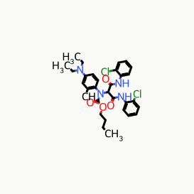 CCCCOC(=O)N(c1ccc(N(CC)CC)cc1C)C(C(=O)Nc1ccccc1Cl)C(=O)Nc1ccccc1Cl